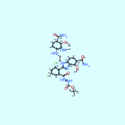 CNc1c(NCCn2c(-c3c(F)cc(F)cc3C(=O)NNC(=O)OC(C)(C)C)nc3c(OC)c(C(N)=O)ccc32)ccc(C(N)=O)c1OC